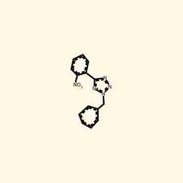 O=[N+]([O-])c1ccccc1-c1nnn(Cc2ccccc2)n1